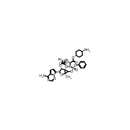 CC(C)C(=O)O[C@H]1[C@H](c2ccc3c(N)ncnn23)O[C@]2(C)C(OP(=O)(N[C@@H](C)C(=O)O[C@H]3CC[C@H](N)CC3)Oc3ccccc3)[C@]12OC(=O)C(C)C